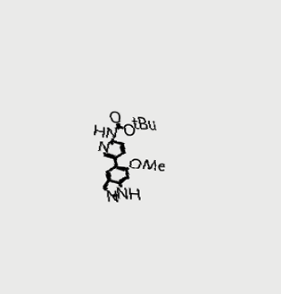 COc1cc2[nH]ncc2cc1-c1ccc(NC(=O)OC(C)(C)C)nc1